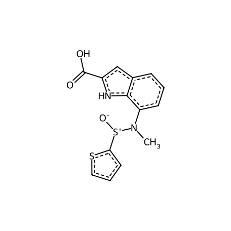 CN(c1cccc2cc(C(=O)O)[nH]c12)[S+]([O-])c1cccs1